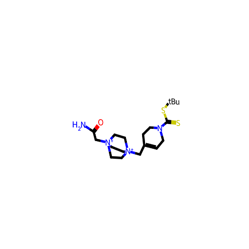 CC(C)(C)SC(=S)N1CC=C(C[N+]23CC[N+](CC(N)=O)(CC2)CC3)CC1